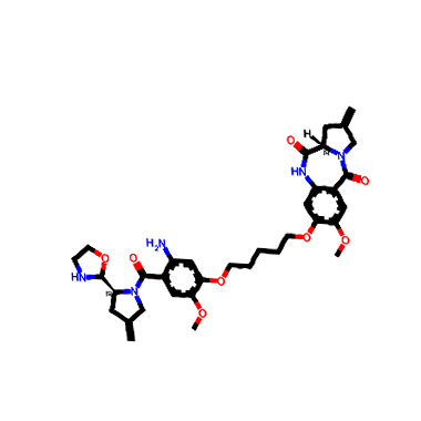 C=C1C[C@H]2C(=O)Nc3cc(OCCCCCOc4cc(N)c(C(=O)N5CC(=C)C[C@H]5C5NCCO5)cc4OC)c(OC)cc3C(=O)N2C1